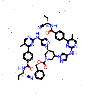 CC[C@@H](C#N)NC(=O)c1ccc(-c2nc(Nc3cnn(C4CC(n5cc(Nc6ncc(C)c(-c7ccc(C(=O)N[C@H](C#N)CC)cc7)n6)cn5)CN(C(=O)OCc5ccccc5)C4)c3)ncc2C)cc1